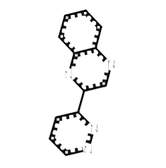 [c]1nc2ccccc2nc1-c1cccnn1